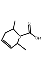 CC1C=CCC(C)N1C(=O)O